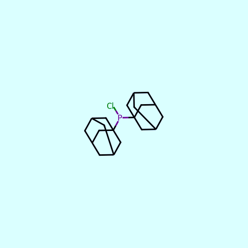 ClP(C12CC3CC(CC(C3)C1)C2)C12CC3CC(CC(C3)C1)C2